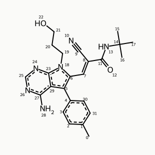 Cc1ccc(-c2c(C=C(C#N)C(=O)NC(C)(C)C)n(CCCO)c3ncnc(N)c23)cc1